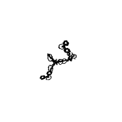 CCOCC[N+](C)(CCCOc1ccc(C(=O)c2ccccc2)cc1)CCOCOCC[N+](C)(CCCOc1ccc(C(=O)c2ccccc2)cc1)CCOC